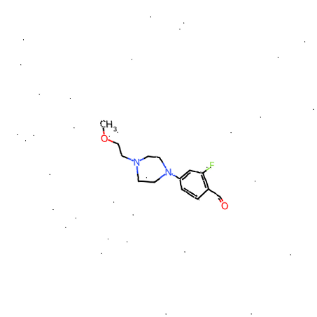 COCCN1CCN(c2ccc(C=O)c(F)c2)CC1